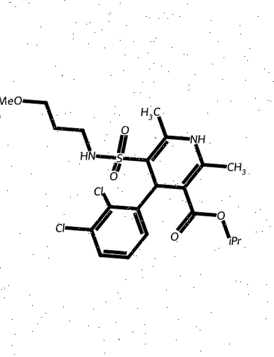 COCCCNS(=O)(=O)C1=C(C)NC(C)=C(C(=O)OC(C)C)C1c1cccc(Cl)c1Cl